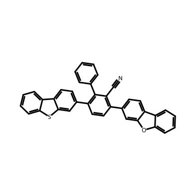 N#Cc1c(-c2ccc3c(c2)oc2ccccc23)ccc(-c2ccc3c(c2)sc2ccccc23)c1-c1ccccc1